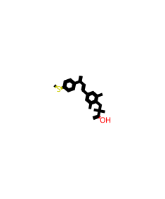 C=C(/C=C/c1cc(C)c(CC(C)(C)C(=C)O)c(C)c1)c1ccc(SC)cc1